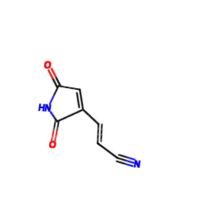 N#CC=CC1=CC(=O)NC1=O